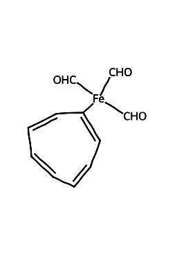 O=[CH][Fe]([CH]=O)([CH]=O)[C]1=CC=CC=CC=C1